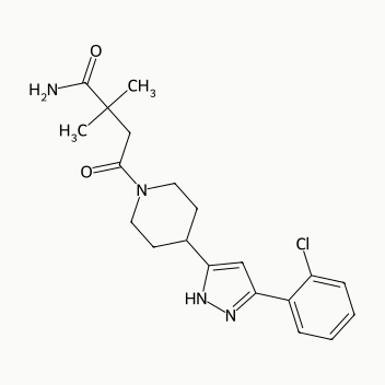 CC(C)(CC(=O)N1CCC(c2cc(-c3ccccc3Cl)n[nH]2)CC1)C(N)=O